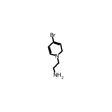 NCCN1C=CC(Br)=CC1